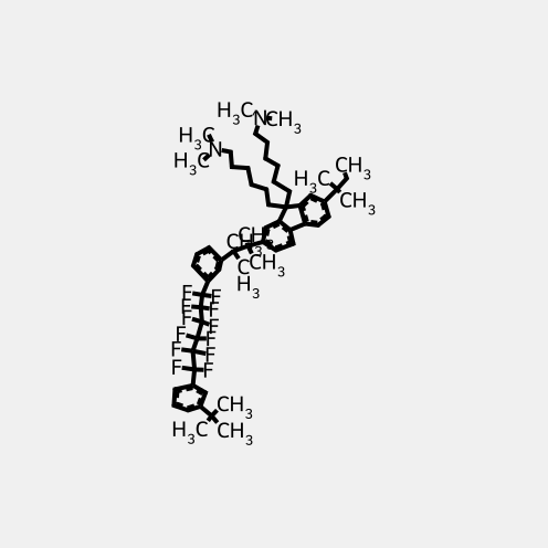 CCC(C)(C)c1ccc2c(c1)C(CCCCCCN(C)C)(CCCCCCN(C)C)c1cc(C(C)(C)C(C)(C)c3cccc(C(F)(F)C(F)(F)C(F)(F)C(F)(F)C(F)(F)C(F)(F)c4cccc(C(C)(C)C)c4)c3)ccc1-2